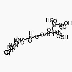 O=C(O)CN1CCN(CC(=O)O)CCN(CC(=O)NCCOCCOCCNC(=O)CCCC(=O)Nc2ccc(-c3nnc(-c4ccccn4)nn3)nc2)CCN(CC(=O)O)CC1